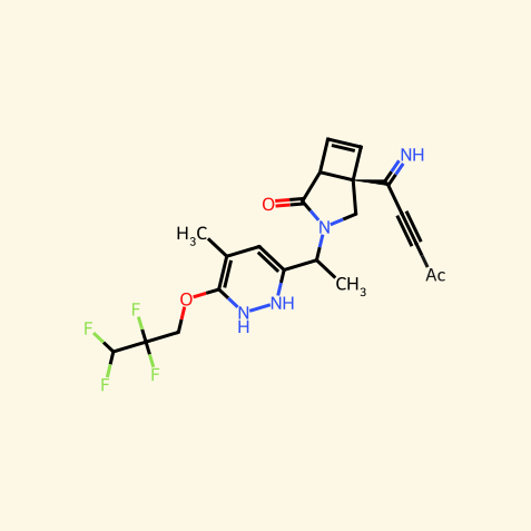 CC(=O)C#CC(=N)[C@]12C=CC1C(=O)N(C(C)C1=CC(C)=C(OCC(F)(F)C(F)F)NN1)C2